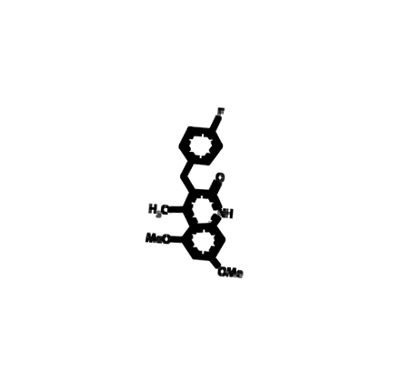 COc1cc(OC)c2c(C)c(Cc3ccc(F)cc3)c(=O)[nH]c2c1